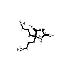 O=C1NC(=O)C(CCCO)(CCCO)N1